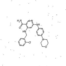 NC(=O)c1cnc(Nc2ccc(N3CCOCC3)cc2)cc1NCc1ccccc1Cl